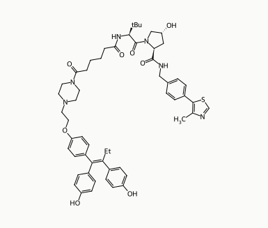 CCC(=C(c1ccc(O)cc1)c1ccc(OCCN2CCN(C(=O)CCCCC(=O)N[C@H](C(=O)N3C[C@H](O)C[C@H]3C(=O)NCc3ccc(-c4scnc4C)cc3)C(C)(C)C)CC2)cc1)c1ccc(O)cc1